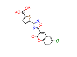 O=c1oc2ccc(Cl)cc2cc1-c1nc(-c2ccc(B(O)O)s2)no1